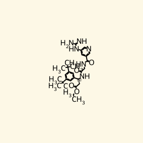 CCOC(=O)C[C@H](NC(=O)CNC(=O)c1cncc(NC(=N)N)c1)c1cc(C(C)(C)C)cc(C(C)(C)C)c1